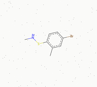 CNSc1ccc(Br)cc1C